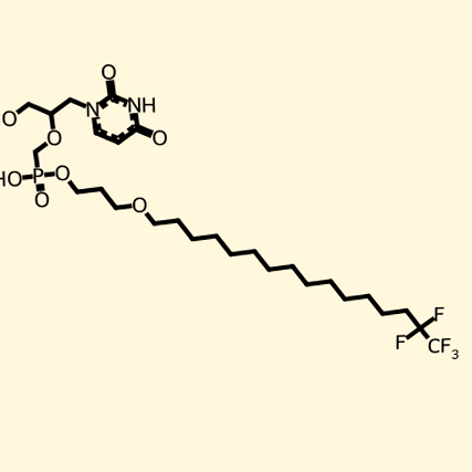 O=c1ccn(CC(CO)OCP(=O)(O)OCCCOCCCCCCCCCCCCCCC(F)(F)C(F)(F)F)c(=O)[nH]1